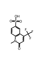 Cn1c(=O)cc(C(F)(F)F)c2cc(S(=O)(=O)O)ccc21